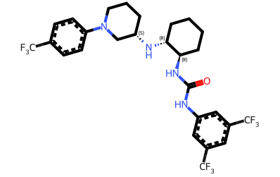 O=C(Nc1cc(C(F)(F)F)cc(C(F)(F)F)c1)N[C@@H]1CCCC[C@H]1N[C@H]1CCCN(c2ccc(C(F)(F)F)cc2)C1